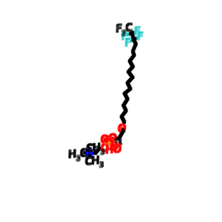 C[N+](C)(C)CCOP(=O)([O-])O[C@@H](CO)COCCCCCCCCCCCCCCCC(F)(F)C(F)(F)C(F)(F)F